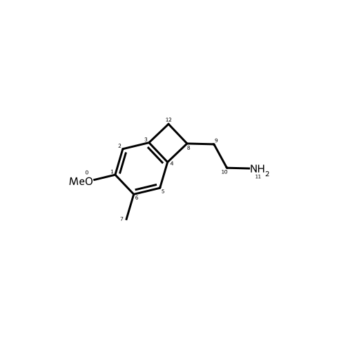 COc1cc2c(cc1C)C(CCN)C2